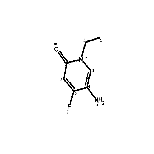 CCn1cc(N)c(F)cc1=O